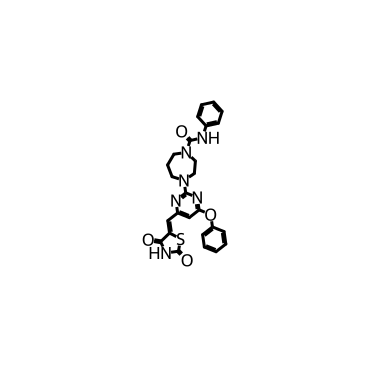 O=C1NC(=O)/C(=C/c2cc(Oc3ccccc3)nc(N3CCCN(C(=O)Nc4ccccc4)CC3)n2)S1